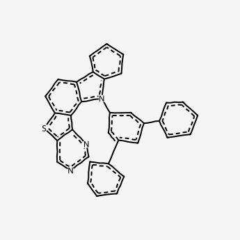 c1ccc(-c2cc(-c3ccccc3)cc(-n3c4ccccc4c4ccc5sc6cncnc6c5c43)c2)cc1